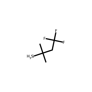 CC(C)([SiH3])CC(F)(F)F